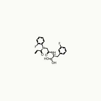 C=CC(=O)N(CC(=O)N[C@@H](Cc1cccc(F)c1)B(O)O)c1ccccc1F